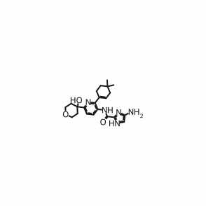 CC1(C)CC=C(c2nc(C3(O)CCOCC3)ccc2NC(=O)c2nc(N)c[nH]2)CC1